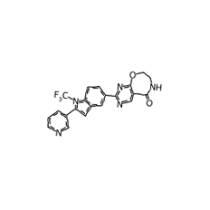 O=C1NCCOc2nc(-c3ccc4c(c3)cc(-c3cccnc3)n4C(F)(F)F)ncc21